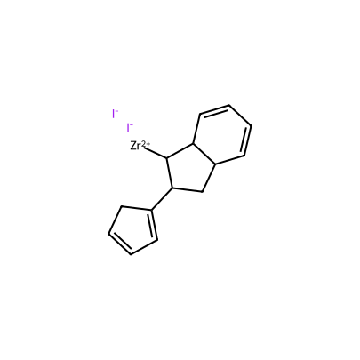 [I-].[I-].[Zr+2][CH]1C(C2=CC=CC2)CC2C=CC=CC21